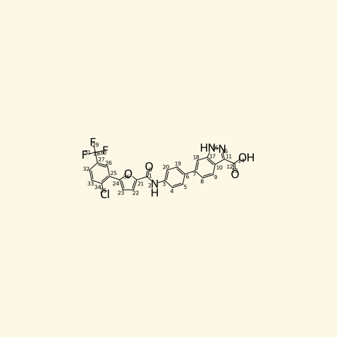 O=C(Nc1ccc(-c2ccc3c(C(=O)O)n[nH]c3c2)cc1)c1ccc(-c2cc(C(F)(F)F)ccc2Cl)o1